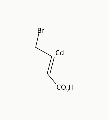 O=C(O)C=CCBr.[Cd]